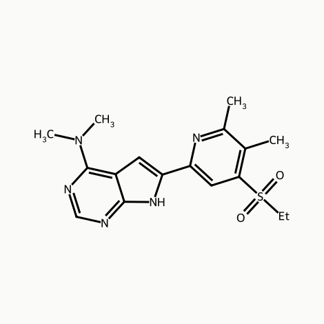 CCS(=O)(=O)c1cc(-c2cc3c(N(C)C)ncnc3[nH]2)nc(C)c1C